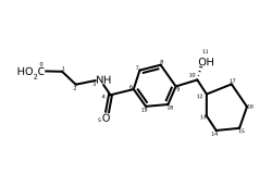 O=C(O)CCNC(=O)c1ccc([C@H](O)C2CCCCC2)cc1